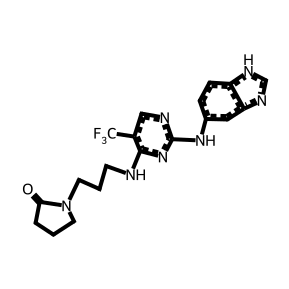 O=C1CCCN1CCCNc1nc(Nc2ccc3[nH]cnc3c2)ncc1C(F)(F)F